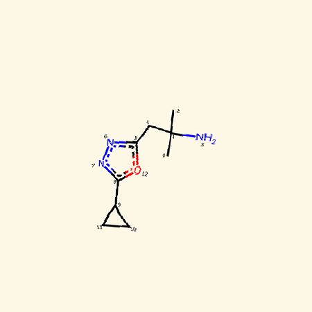 CC(C)(N)Cc1nnc(C2CC2)o1